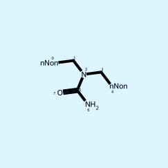 CCCCCCCCCCN(CCCCCCCCCC)C(N)=O